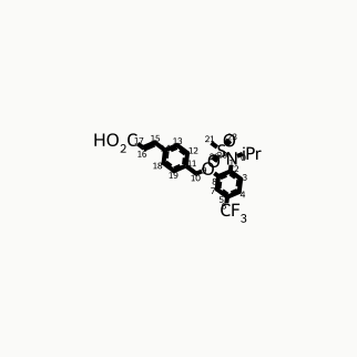 CC(C)N(c1ccc(C(F)(F)F)cc1OCc1ccc(/C=C/C(=O)O)cc1)S(C)(=O)=O